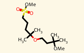 COC(C)(C)CCOC(C)(C)CCCS(=O)(=O)OC